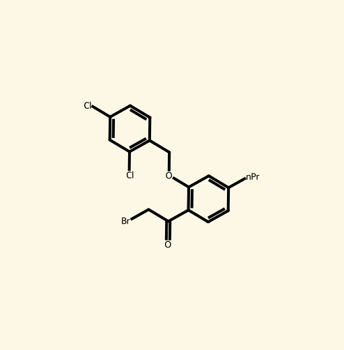 CCCc1ccc(C(=O)CBr)c(OCc2ccc(Cl)cc2Cl)c1